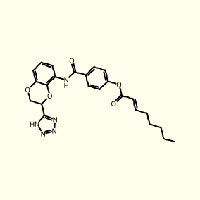 CCCCC/C=C/C(=O)Oc1ccc(C(=O)Nc2cccc3c2OC(c2nnn[nH]2)CO3)cc1